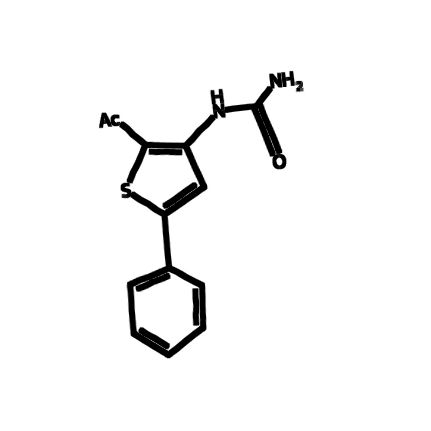 CC(=O)c1sc(-c2ccccc2)cc1NC(N)=O